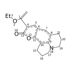 C=C(OCC)c1cc2cc3c4c(c2oc1=O)CCCN4CCC3